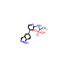 CC(Nc1cc(-c2ccc3[nH]ncc3c2)ccn1)P(=O)(O)O